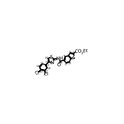 CCOC(=O)c1cc2cc(C(=O)Nc3nc(-c4ccc(Cl)c(Cl)c4)cs3)ccc2s1